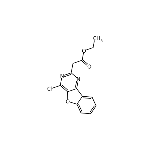 CCOC(=O)Cc1nc(Cl)c2oc3ccccc3c2n1